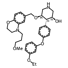 CCOc1cccc(Oc2ccc([C@H]3[C@H](O)CNC[C@@H]3OCc3ccc4c(c3)N(CCCOC)CCO4)cc2)c1